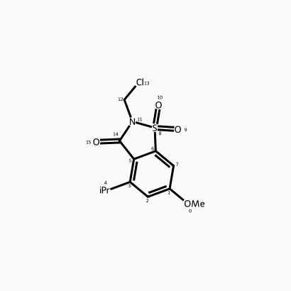 COc1cc(C(C)C)c2c(c1)S(=O)(=O)N(CCl)C2=O